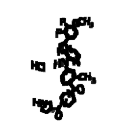 COc1ccc(-c2cnc3c(Nc4ccc(C(=O)N5CCN(C(=O)[C@@H]6CCNC6)CC5)c(C)c4)nccn23)c(F)c1F.Cl